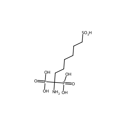 NC(CCCCCCS(=O)(=O)O)(P(=O)(O)O)P(=O)(O)O